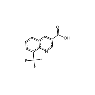 O=C(O)c1cnc2c(C(F)(F)F)cccc2c1